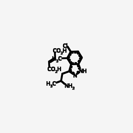 Cc1c(Cl)ccc2[nH]nc(CC(C)N)c12.O=C(O)/C=C/C(=O)O